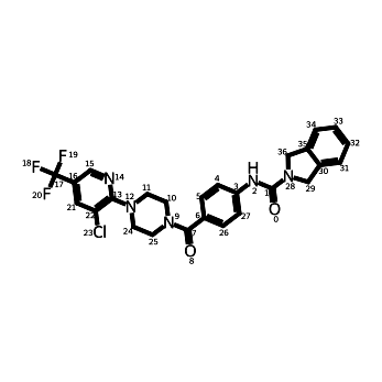 O=C(Nc1ccc(C(=O)N2CCN(c3ncc(C(F)(F)F)cc3Cl)CC2)cc1)N1Cc2ccccc2C1